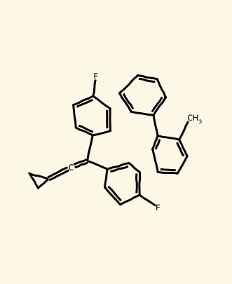 Cc1ccccc1-c1ccccc1.Fc1ccc(C(=C=C2CC2)c2ccc(F)cc2)cc1